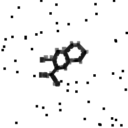 O=C(O)c1cc2ccccc2cc1Br